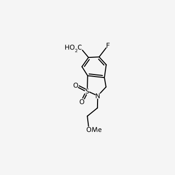 COCCN1Cc2cc(F)c(C(=O)O)cc2S1(=O)=O